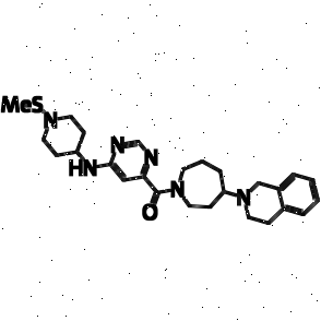 CSN1CCC(Nc2cc(C(=O)N3CCCC(N4CCc5ccccc5C4)CC3)ncn2)CC1